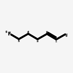 [CH2]C=CCCCF